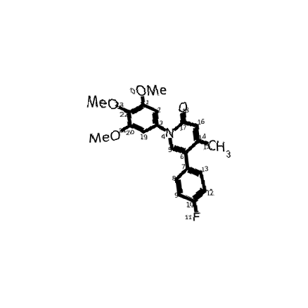 COc1cc(-n2cc(-c3ccc(F)cc3)c(C)cc2=O)cc(OC)c1OC